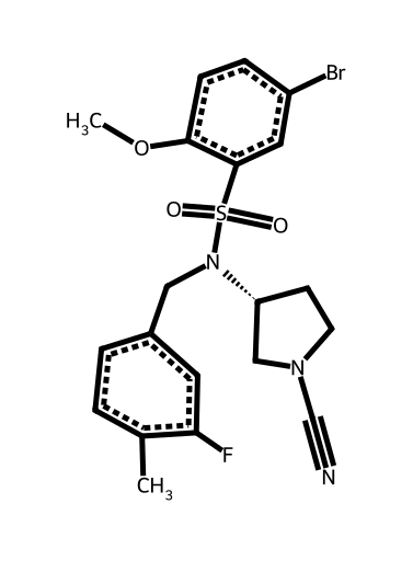 COc1ccc(Br)cc1S(=O)(=O)N(Cc1ccc(C)c(F)c1)[C@@H]1CCN(C#N)C1